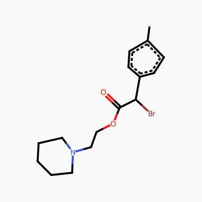 Cc1ccc(C(Br)C(=O)OCCN2CCCCC2)cc1